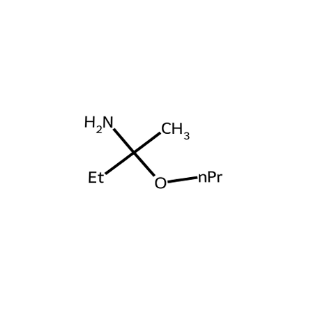 CCCOC(C)(N)CC